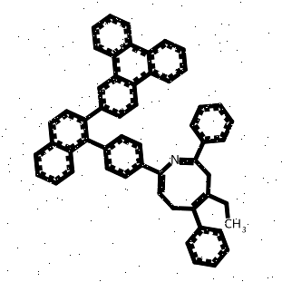 CC/C1=C(\c2ccccc2)C/C=C(c2ccc(-c3c(-c4ccc5c6ccccc6c6ccccc6c5c4)ccc4ccccc34)cc2)\N=C(\c2ccccc2)C1